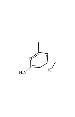 CO.Cc1cccc(N)n1